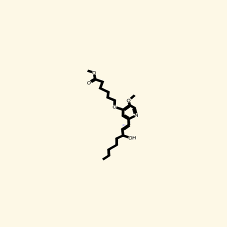 CCCCCC(O)/C=C/c1cc(OCCCCCC(=O)OC)c(OC)cn1